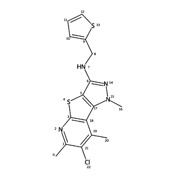 Cc1nc2sc3c(NCc4cccs4)nn(C)c3c2c(C)c1Cl